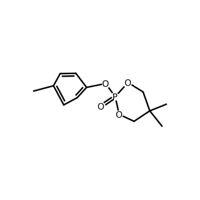 Cc1ccc(OP2(=O)OCC(C)(C)CO2)cc1